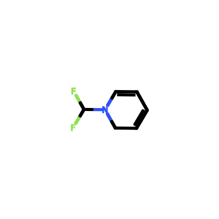 FC(F)N1C=CC=CC1